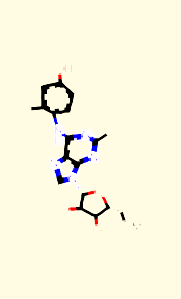 COC[C@H]1O[C@@H](n2cnc3c(Nc4ccc(O)cc4C)nc(C)nc32)C(O)C1O